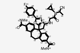 CNC(=O)c1ccc2c(c1)CCc1cc(C(=O)NC)ccc1C2(C[C@@H](C)NCC(=O)N(C(C)C#N)C1CC1)c1nnc(-c2ccc(F)cc2)o1